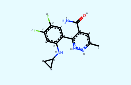 Cc1cc(C(N)=O)c(-c2cc(F)c(F)cc2NC2CC2)nn1